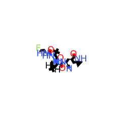 CC(C)(C)[C@H](NC(=O)NCCF)C(=O)N1C[C@H]2[C@@H]([C@H]1C(=O)N[C@H](C#N)C[C@@H]1CC3(CC3)NC1=O)C2(C)C